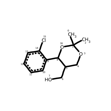 CC1(C)OCC(CO)C(c2ccccc2Cl)O1